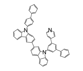 c1ccc(-c2ccc(-n3c4ccccc4c4cc(-c5ccc6c7ccccc7n(-c7cc(-c8ccccc8)cc(-c8ccncc8)c7)c6c5)ccc43)cc2)cc1